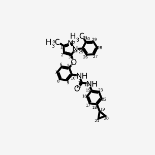 Cc1cc(Oc2ccccc2NC(=O)Nc2ccc(C3CC3)cc2)n(-c2ccccc2C)n1